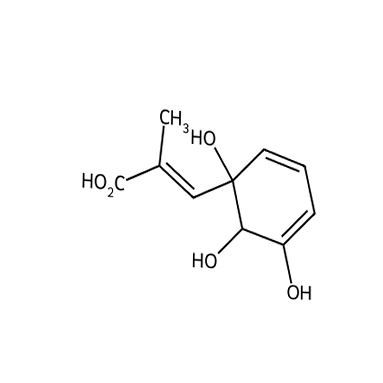 C/C(=C\C1(O)C=CC=C(O)C1O)C(=O)O